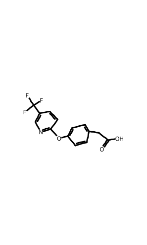 O=C(O)Cc1ccc(Oc2ccc(C(F)(F)F)cn2)cc1